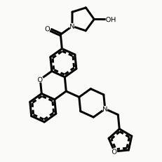 O=C(c1ccc2c(c1)Oc1ccccc1C2C1CCN(Cc2ccoc2)CC1)N1CCC(O)C1